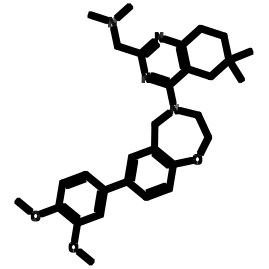 COc1ccc(-c2ccc3c(c2)CN(c2nc(CN(C)C)nc4c2CC(C)(C)CC4)CCO3)cc1OC